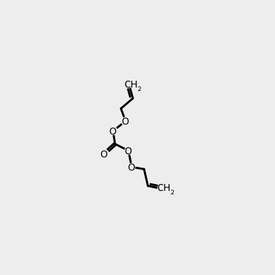 C=CCOOC(=O)OOCC=C